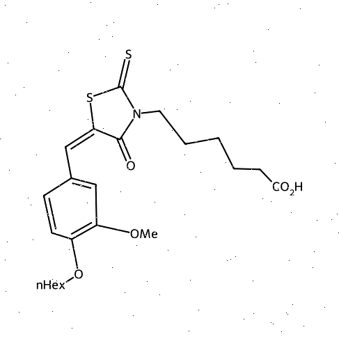 CCCCCCOc1ccc(C=C2SC(=S)N(CCCCCC(=O)O)C2=O)cc1OC